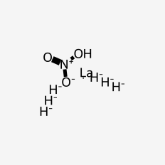 O=[N+]([O-])O.[H-].[H-].[H-].[H-].[H-].[H-].[La]